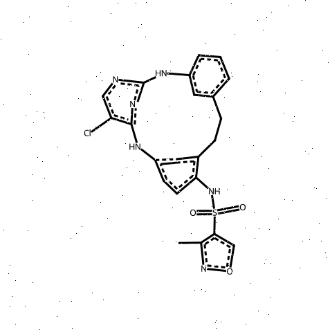 Cc1nocc1S(=O)(=O)Nc1ccc2cc1CCc1cccc(c1)Nc1ncc(Cl)c(n1)N2